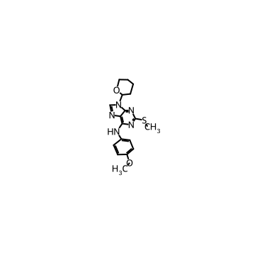 COc1ccc(Nc2nc(SC)nc3c2ncn3C2CCCCO2)cc1